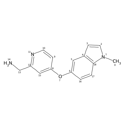 Cn1ccc2cc(Oc3ccnc(CN)c3)ccc21